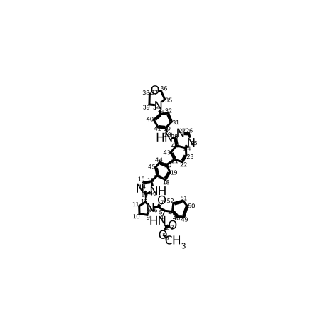 COC(=O)N[C@@H](C(=O)N1CCC[C@H]1c1ncc(-c2ccc(-c3ccc4ncnc(Nc5ccc(N6CCOCC6)cc5)c4c3)cc2)[nH]1)c1ccccc1